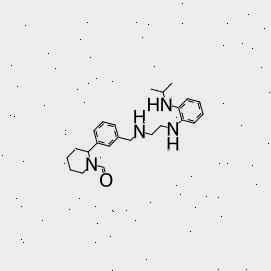 CC(C)Nc1ccccc1NCCNCc1cccc(C2CCCCN2C=O)c1